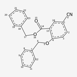 N#Cc1ccc(OCc2ccccc2)c(C(=O)OCc2ccccc2)c1